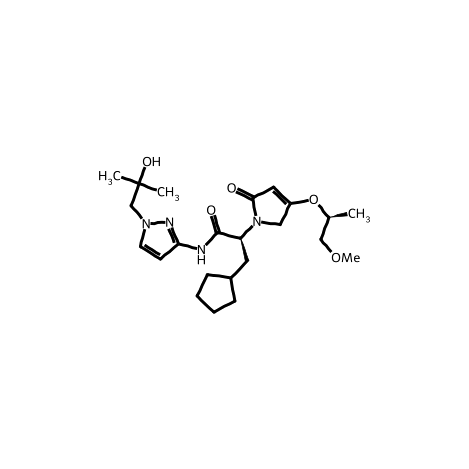 COC[C@H](C)OC1=CC(=O)N([C@@H](CC2CCCC2)C(=O)Nc2ccn(CC(C)(C)O)n2)C1